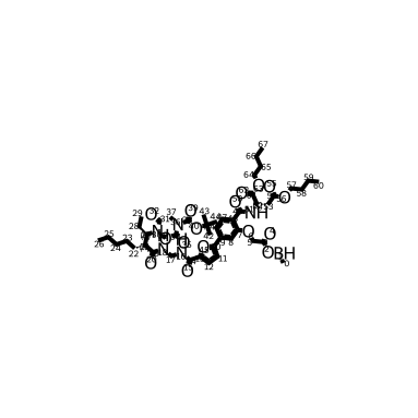 CBOC(=O)COc1cc(-c2ccc(C(=O)NCNC(=O)[C@H](CCCCC)[C@@H](CC)N(C=O)OC(=O)N(C)C(=O)OC(C)(C)C)o2)ccc1C(=O)N[C@@H](CC(=O)OCCCC)C(=O)OCCCC